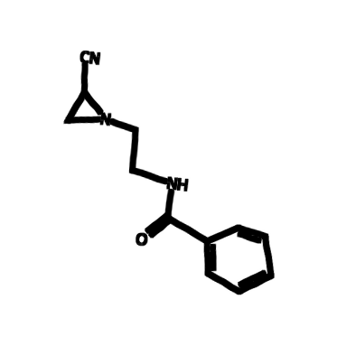 N#CC1CN1CCNC(=O)c1ccccc1